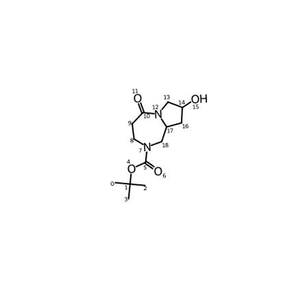 CC(C)(C)OC(=O)N1CCC(=O)N2CC(O)CC2C1